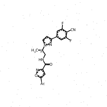 CC(=O)c1cc(C(=O)NC[C@@H](C)n2ccc(-c3cc(F)c(C#N)c(F)c3)n2)no1